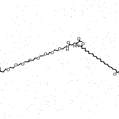 CC(=O)CCOCCOCCOCCOCCOCCOCCOCCOCCNC(=O)CC[C@H](NC(=O)CCCCCCCCCCCCCCCCCCC(=O)O)C(C)=O